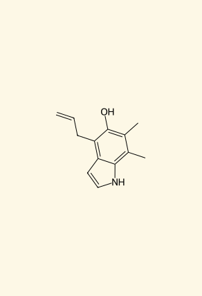 C=CCc1c(O)c(C)c(C)c2[nH]ccc12